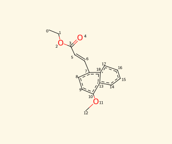 CCOC(=O)/C=C/c1ccc(OC)c2ccccc12